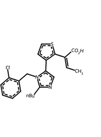 CC=C(C(=O)O)c1sccc1-c1cnc(CCCC)n1Cc1ccccc1Cl